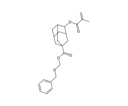 C=C(C)C(=O)OC1C2CC3CC1CC(C(=O)OCOCc1ccccc1)(C3)C2